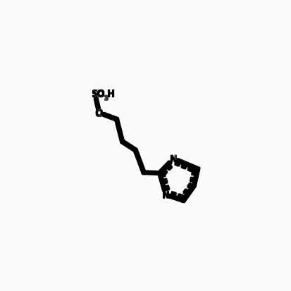 O=S(=O)(O)OCCCCc1ncccn1